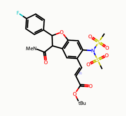 CNC(=O)C1c2cc(/C=C/C(=O)OC(C)(C)C)c(N(S(C)(=O)=O)S(C)(=O)=O)cc2OC1c1ccc(F)cc1